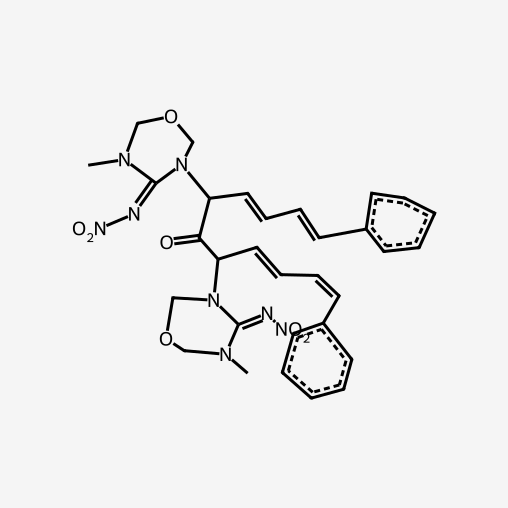 CN1COCN(C(C=CC=Cc2ccccc2)C(=O)C(C=CC=Cc2ccccc2)N2COCN(C)C2=N[N+](=O)[O-])C1=N[N+](=O)[O-]